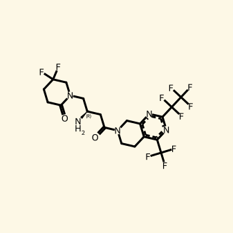 N[C@H](CC(=O)N1CCc2c(nc(C(F)(F)C(F)(F)F)nc2C(F)(F)F)C1)CN1CC(F)(F)CCC1=O